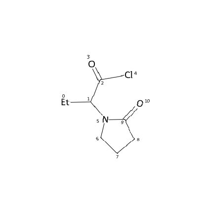 CCC(C(=O)Cl)N1CCCC1=O